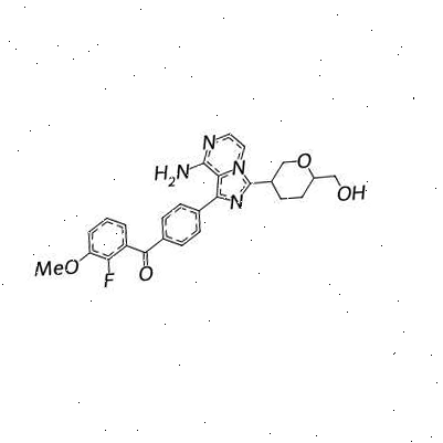 COc1cccc(C(=O)c2ccc(-c3nc(C4CCC(CO)OC4)n4ccnc(N)c34)cc2)c1F